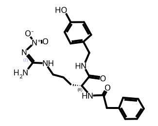 N/C(=N/[N+](=O)[O-])NCCC[C@@H](NC(=O)Cc1ccccc1)C(=O)NCc1ccc(O)cc1